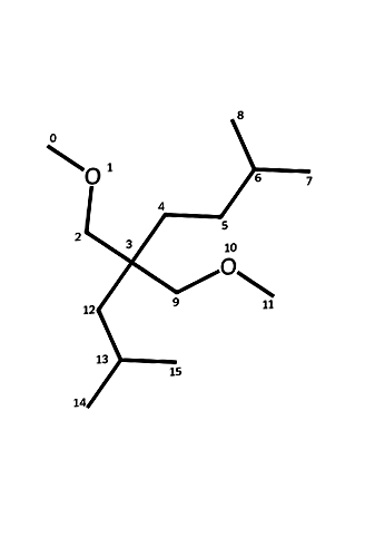 COCC(CCC(C)C)(COC)CC(C)C